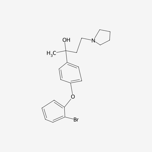 CC(O)(CCN1CCCC1)c1ccc(Oc2ccccc2Br)cc1